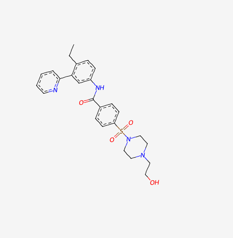 CCc1ccc(NC(=O)c2ccc(S(=O)(=O)N3CCN(CCO)CC3)cc2)cc1-c1ccccn1